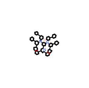 c1ccc(-c2cc(-c3ccccc3)cc(N3c4cc(-c5ccccc5)ccc4B4c5ccc(-c6ccccc6)cc5N(c5cc(-c6ccccc6)cc(-c6ccccc6)c5)c5cc(-c6cc(-c7ccccc7)cc(-c7ccccc7)n6)cc3c54)c2)cc1